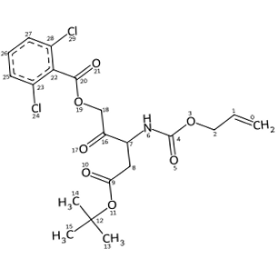 C=CCOC(=O)NC(CC(=O)OC(C)(C)C)C(=O)COC(=O)c1c(Cl)cccc1Cl